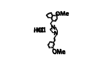 COc1cccc(/C=C/CN2CCN(Cc3ccc(OC)c4ccccc34)CC2)c1.Cl.Cl